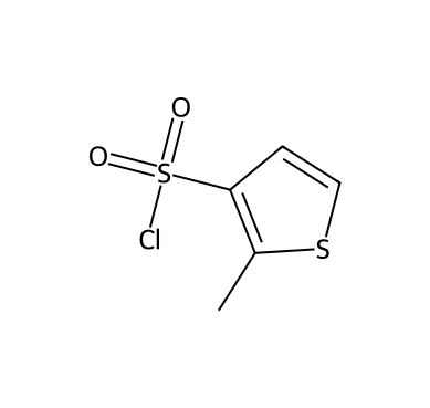 Cc1sccc1S(=O)(=O)Cl